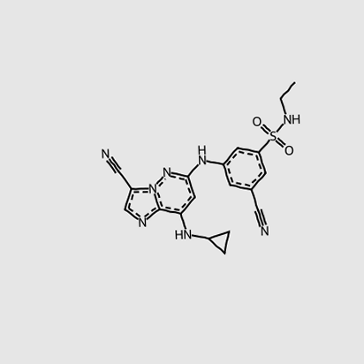 CCNS(=O)(=O)c1cc(C#N)cc(Nc2cc(NC3CC3)c3ncc(C#N)n3n2)c1